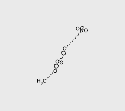 CCCCCCCOc1ccc(OC(=O)/C=C/c2ccc(OCCCCCCCCCCCN3C(=O)C=CC3=O)cc2)cc1